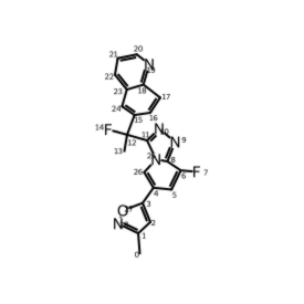 Cc1cc(-c2cc(F)c3nnc(C(C)(F)c4ccc5ncccc5c4)n3c2)on1